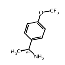 C[C@H](N)c1ccc(OC(F)(F)F)cc1